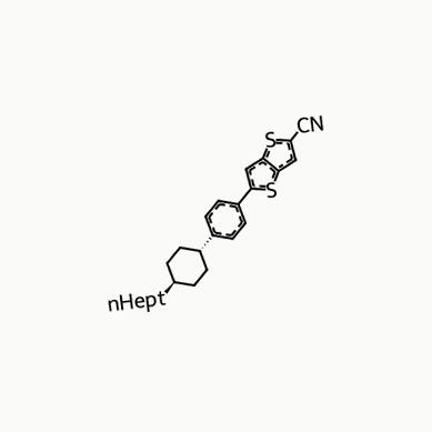 CCCCCCC[C@H]1CC[C@H](c2ccc(-c3cc4sc(C#N)cc4s3)cc2)CC1